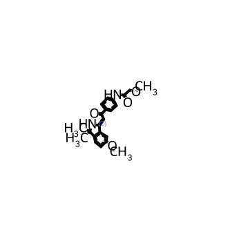 COCC(=O)Nc1ccc(C(=O)/C=C2\NC(C)(C)c3ccc(OC)cc32)cc1